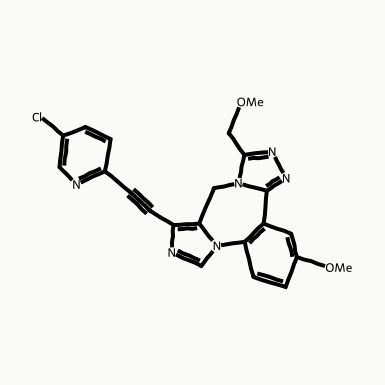 COCc1nnc2n1Cc1c(C#Cc3ccc(Cl)cn3)ncn1-c1ccc(OC)cc1-2